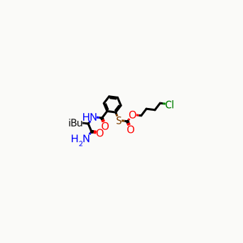 CCC(C)C(NC(=O)c1ccccc1SC(=O)OCCCCCl)C(N)=O